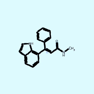 CNC(=O)/C=C(\c1ccccc1)c1cccc2cc[nH]c12